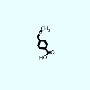 C=C=Cc1ccc(C(=O)O)cc1